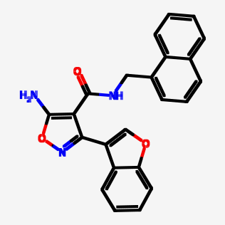 Nc1onc(-c2coc3ccccc23)c1C(=O)NCc1cccc2ccccc12